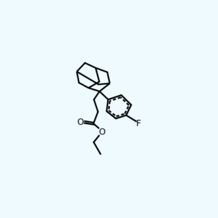 CCOC(=O)CCC1(c2ccc(F)cc2)C2CC3CC(C2)CC1C3